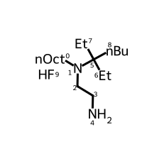 CCCCCCCCN(CCN)C(CC)(CC)CCCC.F